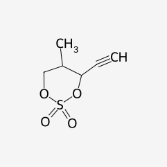 C#CC1OS(=O)(=O)OCC1C